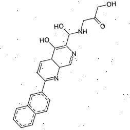 O=C(CO)CNC(O)C1=C(O)C2C=CC(c3ccc4ccccc4c3)=NC2C=N1